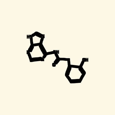 O=C(Cc1ccccc1O)Nc1ncnc2[nH]cnc12